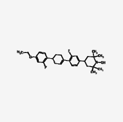 CCOc1ccc(C2CC=C(c3ccc(C4CC(C)(C)N(O)C(C)(C)C4)cc3F)CC2)c(F)c1